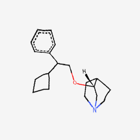 c1ccc(C(CO[C@H]2CN3CCC2CC3)C2CCC2)cc1